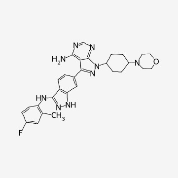 Cc1cc(F)ccc1Nc1n[nH]c2cc(-c3nn(C4CCC(N5CCOCC5)CC4)c4ncnc(N)c34)ccc12